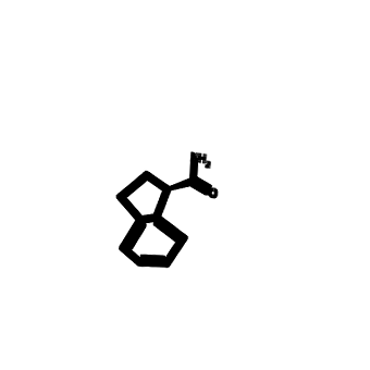 NC(=O)[C@@H]1CCc2ccccc21